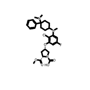 COC(=O)[C@@H]1C[C@H](Oc2cc(F)cc(N(C)C3CCC(c4ccccc4)(N(C)C)CC3)c2Cl)CN1C(=O)O